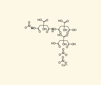 O=C(O)CC(O)(CC(=O)O)C(=O)O.O=C(O)CC(O)(CC(=O)O)C(=O)O.O=C(O)CC(O)(CC(=O)O)C(=O)O.O=[N+]([O-])[O-].O=[N+]([O-])[O-].O=[N+]([O-])[O-].[Ce+3]